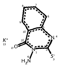 Nn1c([S-])nc2ccccc2c1=O.[K+]